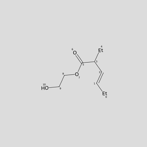 CCC=CC(CC)C(=O)OCCO